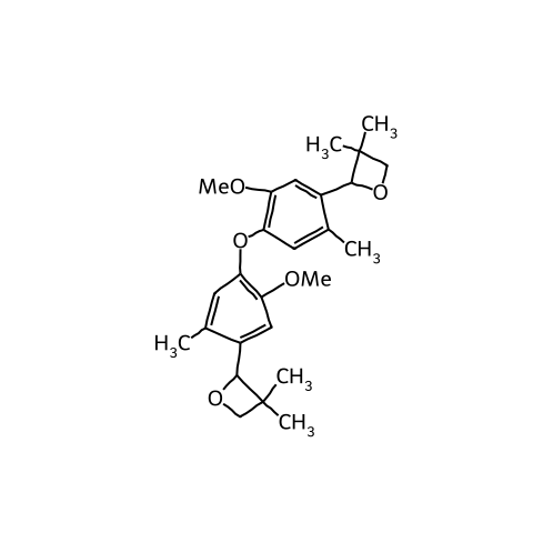 COc1cc(C2OCC2(C)C)c(C)cc1Oc1cc(C)c(C2OCC2(C)C)cc1OC